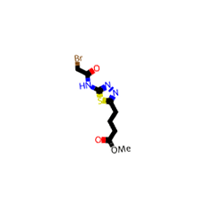 COC(=O)CCCc1nnc(NC(=O)CBr)s1